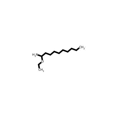 [CH2]CCCCCCCCC(N)OCC